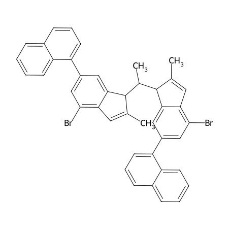 CC1=Cc2c(Br)cc(-c3cccc4ccccc34)cc2C1C(C)C1C(C)=Cc2c(Br)cc(-c3cccc4ccccc34)cc21